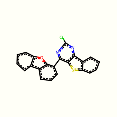 Clc1nc(-c2cccc3c2oc2ccccc23)c2sc3ccccc3c2n1